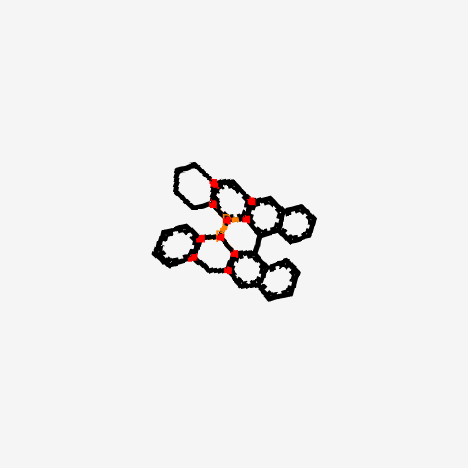 c1ccc(P(c2ccccc2)c2ccc3ccccc3c2-c2c(P(C3CCCCC3)C3CCCCC3)ccc3ccccc23)cc1